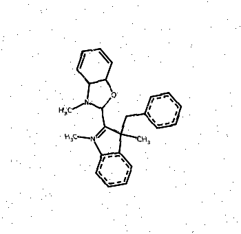 CN1C(C2=[N+](C)c3ccccc3C2(C)Cc2ccccc2)OC2C=CC=CC21